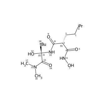 CC(C)CC[C@H](C(=O)NO)C(=O)N[C@@](O)(C(=O)N(C)C)C(C)(C)C